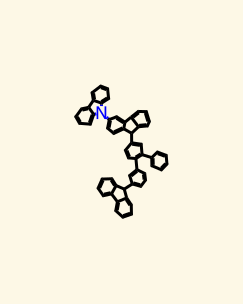 c1ccc(-c2cc(C3c4ccccc4-c4cc(-n5c6ccccc6c6ccccc65)ccc43)ccc2-c2cccc(C3c4ccccc4-c4ccccc43)c2)cc1